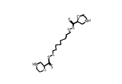 S=C(SSCCCCCCCCSSC(=S)C1CNCCO1)C1CNCCO1